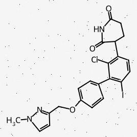 Cn1ccc(COc2ccc(-c3c(I)ccc(C4CCC(=O)NC4=O)c3Cl)cc2)n1